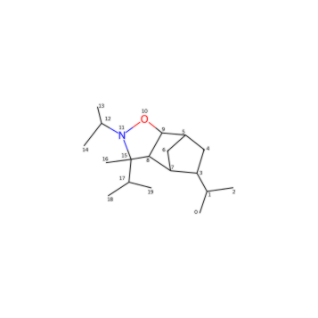 CC(C)C1CC2CC1C1C2ON(C(C)C)C1(C)C(C)C